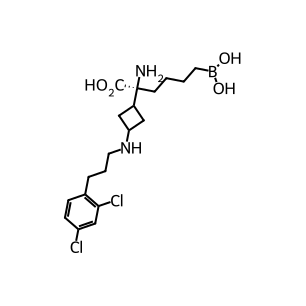 N[C@](CCCCB(O)O)(C(=O)O)C1CC(NCCCc2ccc(Cl)cc2Cl)C1